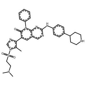 Cc1c(-c2cc3cnc(Nc4ccc(C5CCNCC5)cc4)nc3n(-c3ccccc3)c2=O)ncn1S(=O)(=O)CCN(C)C